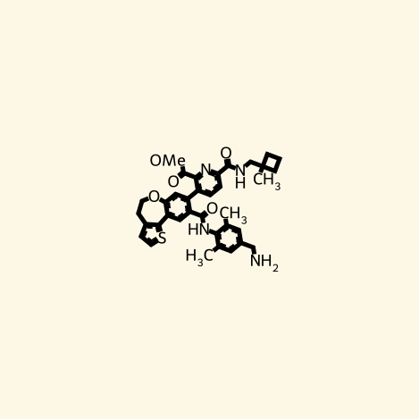 COC(=O)c1nc(C(=O)NCC2(C)CCC2)ccc1-c1cc2c(cc1C(=O)Nc1c(C)cc(CN)cc1C)-c1sccc1CCO2